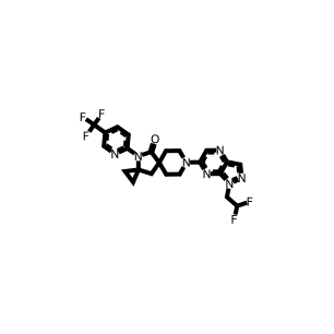 O=C1N(c2ccc(C(F)(F)F)cn2)C2(CC2)CC12CCN(c1cnc3cnn(CC(F)F)c3n1)CC2